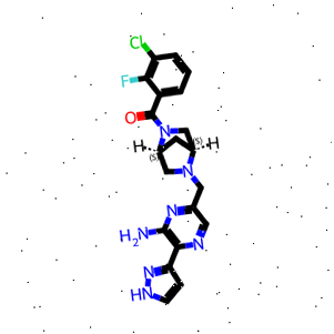 Nc1nc(CN2C[C@@H]3C[C@H]2CN3C(=O)c2cccc(Cl)c2F)cnc1-c1cc[nH]n1